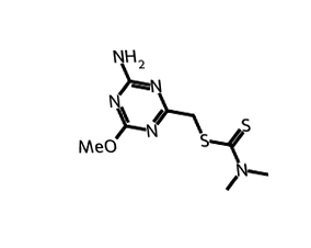 COc1nc(N)nc(CSC(=S)N(C)C)n1